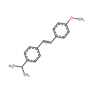 COc1ccc(/C=C/c2ccc(C(C)C)cc2)cc1